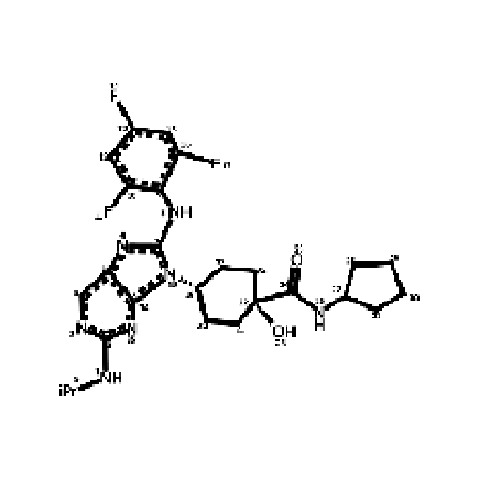 CC(C)Nc1ncc2nc(Nc3c(F)cc(F)cc3F)n([C@H]3CC[C@@](O)(C(=O)NC4CCCC4)CC3)c2n1